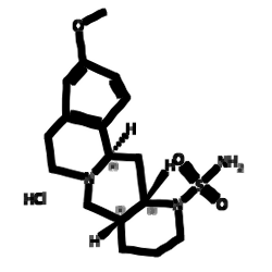 COc1ccc2c(c1)CCN1C[C@H]3CCCN(S(N)(=O)=O)[C@H]3C[C@H]21.Cl